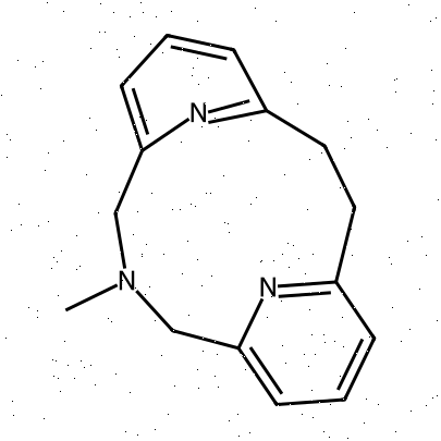 CN1Cc2cccc(n2)CCc2cccc(n2)C1